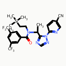 CC(c1ncnn1-c1ccc(C#N)cn1)N(CC[Si](C)(C)C)C(=O)c1cc(C(F)(F)F)cc(C(F)(F)F)c1